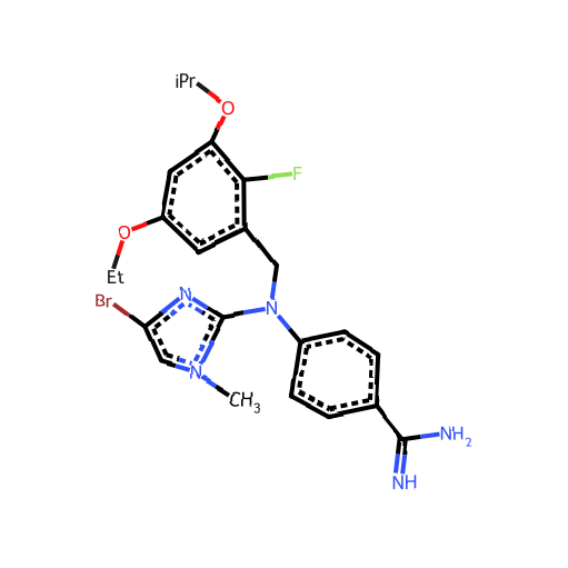 CCOc1cc(CN(c2ccc(C(=N)N)cc2)c2nc(Br)cn2C)c(F)c(OC(C)C)c1